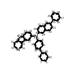 c1ccc(-c2ccc(N(c3ccc4cc(-c5ccccc5)ccc4c3)c3ccc4sc5ccncc5c4c3)cc2)cc1